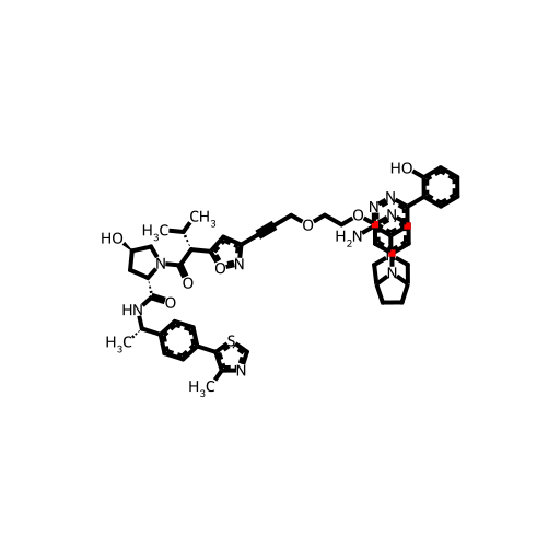 Cc1ncsc1-c1ccc([C@H](C)NC(=O)[C@@H]2C[C@@H](O)CN2C(=O)[C@@H](c2cc(C#CCOCCOc3cc(N4C5CCC4CN(c4cc(-c6ccccc6O)nnc4N)C5)ccn3)no2)C(C)C)cc1